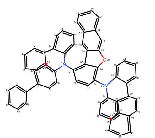 c1ccc(-c2ccc(N(c3ccccc3-c3ccccc3)c3ccc(N(c4ccccc4)c4ccccc4-c4ccc5ccccc5c4)c4oc5cc6ccccc6cc5c34)cc2)cc1